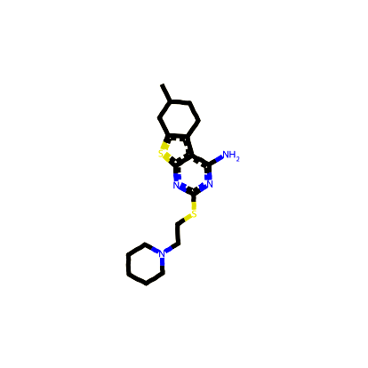 CC1CCc2c(sc3nc(SCCN4CCCCC4)nc(N)c23)C1